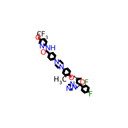 Cc1cc(N2CCN(c3ccc(C(=O)Nc4ccc(OC(F)(F)F)cn4)cc3)CC2)ccc1OC[C@@H]1CO[C@@](Cn2cncn2)(c2ccc(F)cc2F)C1